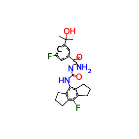 CC(C)(O)c1cc(F)cc(S(N)(=O)=NC(=O)Nc2c3c(c(F)c4c2CCC4)CCC3)c1